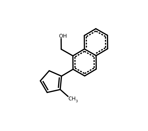 CC1=C(c2ccc3ccccc3c2CO)CC=C1